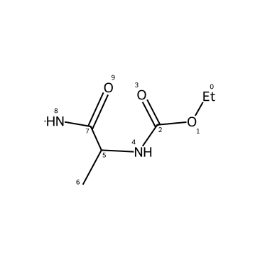 CCOC(=O)NC(C)C([NH])=O